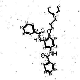 CCN(CC)CCCOc1ccc(NC(=O)c2ccccc2)cc1NC(=O)c1ccccc1